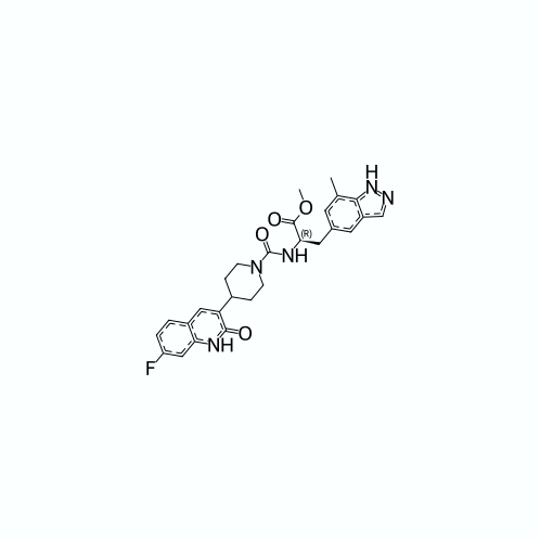 COC(=O)[C@@H](Cc1cc(C)c2[nH]ncc2c1)NC(=O)N1CCC(c2cc3ccc(F)cc3[nH]c2=O)CC1